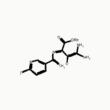 C=C(/N=C(/C(=O)OC)C(Cl)=C(N)N)c1ccc(F)nc1